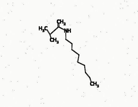 C=C(NCCCCCCCCC)C(C)C